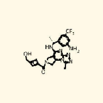 Cc1nnc2nc(N[C@H](C)c3cc(N)cc(C(F)(F)F)c3)c3c(n12)CN(C(=O)C12CC(CO)(C1)C2)C3